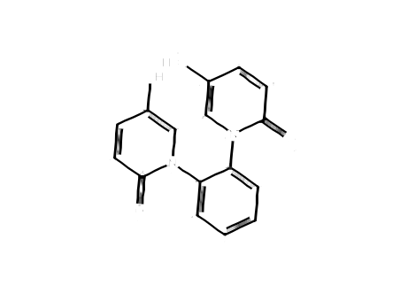 Cc1ccc(=O)n(-c2ccccc2-n2cc(C)ccc2=O)c1